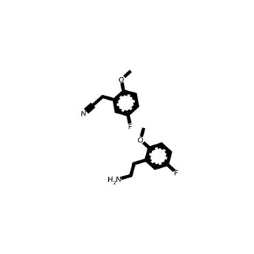 COc1ccc(F)cc1CC#N.COc1ccc(F)cc1CCN